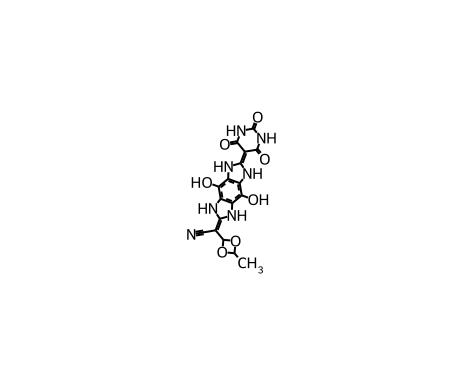 CC1OC(C(C#N)=C2Nc3c(O)c4c(c(O)c3N2)NC(=C2C(=O)NC(=O)NC2=O)N4)O1